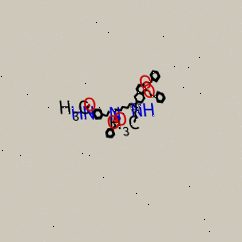 CCCN[C@@H](CCCCCN(CCc1ccc(NC(C)=O)cc1)C(=O)OCc1ccccc1)C1CCc2c(ccc(OCc3ccccc3)c2OCc2ccccc2)C1